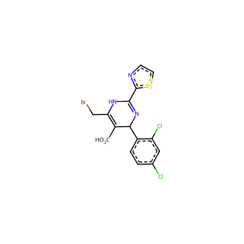 O=C(O)C1=C(CBr)NC(c2nccs2)=NC1c1ccc(Cl)cc1Cl